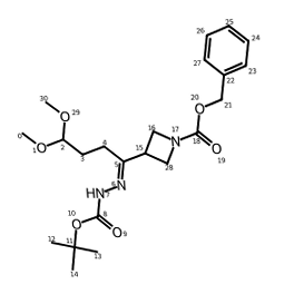 COC(CC/C(=N\NC(=O)OC(C)(C)C)C1CN(C(=O)OCc2ccccc2)C1)OC